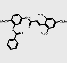 COc1cc(OC)c(/C=C/C(=O)Nc2ccc(OC)c(OC(=O)c3ccccc3)c2)c(OC)c1